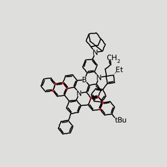 C=CCC1(N2c3cc(N4C5CC6CC(C5)CC4C6)ccc3B3c4ccc(-c5ccccc5)cc4N(c4c(-c5ccccc5)cc(-c5ccccc5)cc4-c4ccccc4)c4cc(-c5ccc(C(C)(C)C)cc5)cc2c43)C(c2ccccc2)=C[C@H]1CC